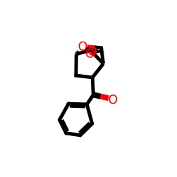 O=C(c1ccccc1)C1CC2OCC1C21OCCO1